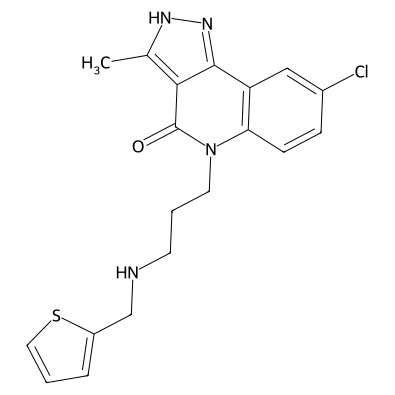 Cc1[nH]nc2c1c(=O)n(CCCNCc1cccs1)c1ccc(Cl)cc21